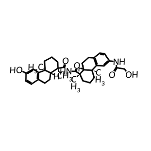 C[C@]1(C(=O)NC(=O)[C@@]2(C)CCC[C@]3(C)c4cc(NC(=O)CO)ccc4CC[C@@H]23)CCC[C@]2(C)c3cc(O)ccc3CC[C@@H]12